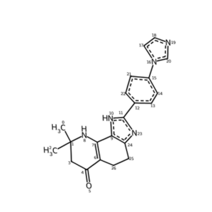 CC1(C)CC(=O)C2=C(N1)c1[nH]c(-c3ccc(-n4ccnc4)cc3)nc1CC2